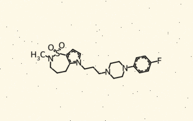 CN1CCCc2c(ccn2CCCN2CCN(c3ccc(F)cc3)CC2)S1(=O)=O